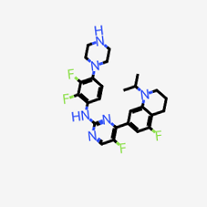 CC(C)N1CCCc2c(F)cc(-c3nc(Nc4ccc(N5CCNCC5)c(F)c4F)ncc3F)cc21